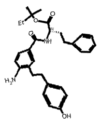 CCC(C)(C)OC(=O)[C@H](CCc1ccccc1)NC(=O)c1ccc(N)c(CCc2ccc(O)cc2)c1